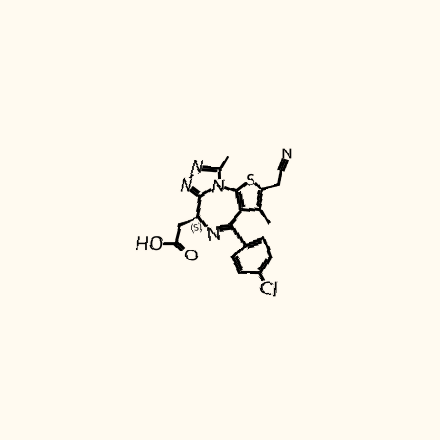 Cc1c(CC#N)sc2c1C(c1ccc(Cl)cc1)=N[C@@H](CC(=O)O)c1nnc(C)n1-2